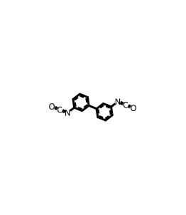 O=C=Nc1cccc(-c2cccc(N=C=O)c2)c1